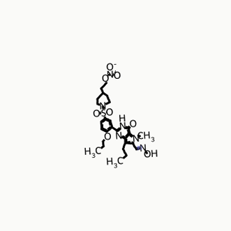 CCCOc1ccc(S(=O)(=O)N2CCC(CCO[N+](=O)[O-])CC2)cc1-c1nc2c(CCC)c(/C=N/O)n(C)c2c(=O)[nH]1